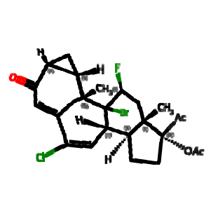 CC(=O)O[C@]1(C(C)=O)CC[C@H]2[C@@H]3C=C(Cl)C4=CC(=O)[C@@H]5C[C@@H]5[C@]4(C)C3(Br)[C@@H](F)C[C@@]21C